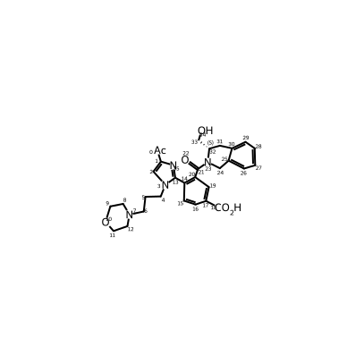 CC(=O)c1cn(CCCN2CCOCC2)c(-c2ccc(C(=O)O)cc2C(=O)N2Cc3ccccc3C[C@H]2CO)n1